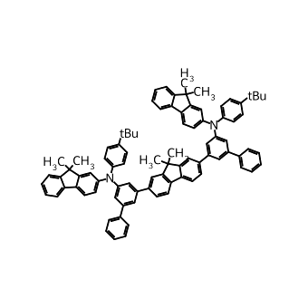 CC(C)(C)c1ccc(N(c2cc(-c3ccccc3)cc(-c3ccc4c(c3)C(C)(C)c3cc(-c5cc(-c6ccccc6)cc(N(c6ccc(C(C)(C)C)cc6)c6ccc7c(c6)C(C)(C)c6ccccc6-7)c5)ccc3-4)c2)c2ccc3c(c2)C(C)(C)c2ccccc2-3)cc1